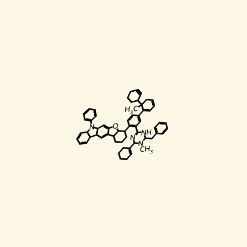 CN1C(Cc2ccccc2)NC(c2cc(C3=CC=CCC3(C)C3C#CCCC3)ccc2C2CCCC3C4=CC5C6C=CC=CC6N(c6ccccc6)C5C=C4OC32)=NC1C1=CCCCC1